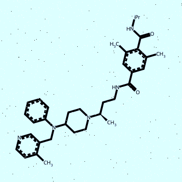 Cc1ccncc1CN(c1ccccc1)C1CCN([C@H](C)CCNC(=O)c2cc(C)c(C(=O)NC(C)C)c(C)c2)CC1